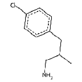 CC(CN)Cc1ccc(Cl)cc1